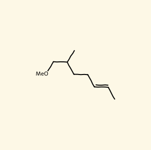 [CH2]OCC(C)CCC=CC